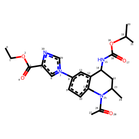 CCOC(=O)c1cn(-c2ccc3c(c2)C(NC(=O)OC(C)C)CC(C)N3C(C)=O)cn1